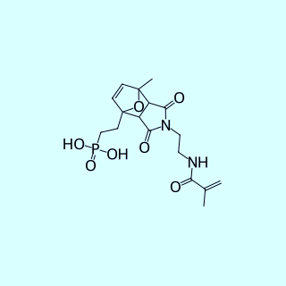 C=C(C)C(=O)NCCN1C(=O)C2C(C1=O)C1(CCP(=O)(O)O)C=CC2(C)O1